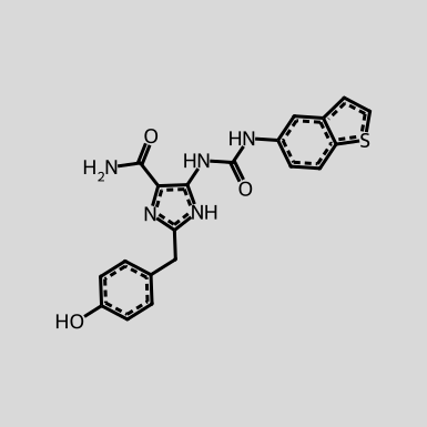 NC(=O)c1nc(Cc2ccc(O)cc2)[nH]c1NC(=O)Nc1ccc2sccc2c1